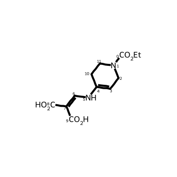 CCOC(=O)N1CC=C(NC=C(C(=O)O)C(=O)O)CC1